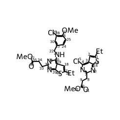 CCc1cc2c(Cl)nc(CCC(=O)OC)nc2s1.CCc1cc2c(NCc3ccc(OC)c(Cl)c3)nc(CCC(=O)OC)nc2s1